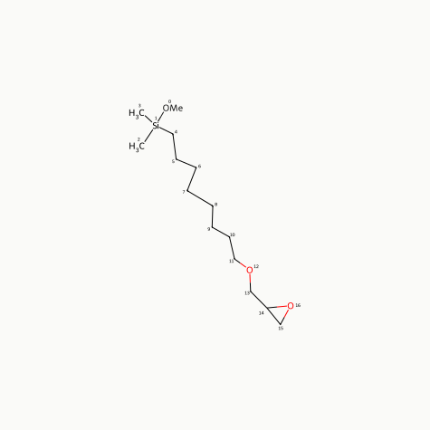 CO[Si](C)(C)CCCCCCCCOCC1CO1